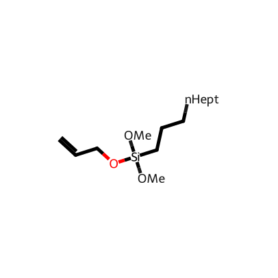 C=CCO[Si](CCCCCCCCCC)(OC)OC